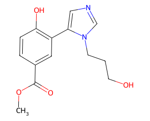 COC(=O)c1ccc(O)c(-c2cncn2CCCO)c1